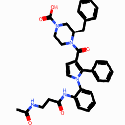 CC(=O)NCCC(=O)Nc1ccccc1-n1ccc(C(=O)N2CCN(C(=O)O)C[C@H]2Cc2ccccc2)c1-c1ccccc1